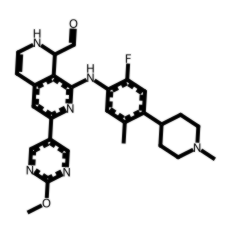 COc1ncc(-c2cc3c(c(Nc4cc(C)c(C5CCN(C)CC5)cc4F)n2)C(C=O)NC=C3)cn1